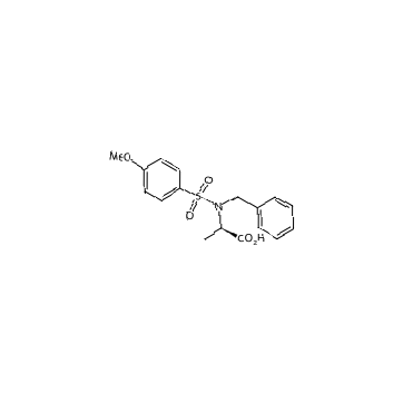 COc1ccc(S(=O)(=O)N(Cc2ccccc2)[C@H](C)C(=O)O)cc1